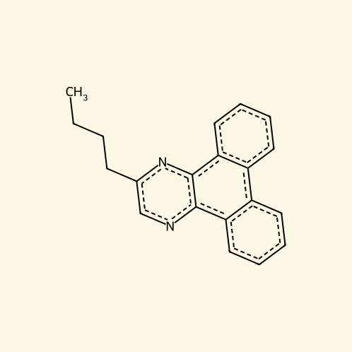 CCCCc1cnc2c3ccccc3c3ccccc3c2n1